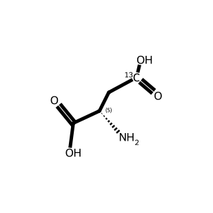 N[C@@H](C[13C](=O)O)C(=O)O